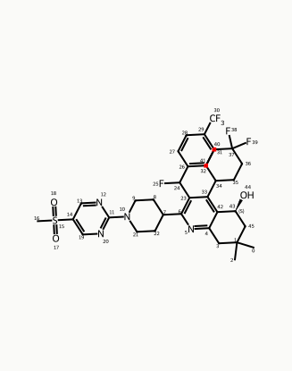 CC1(C)Cc2nc(C3CCN(c4ncc(S(C)(=O)=O)cn4)CC3)c(C(F)c3ccc(C(F)(F)F)cc3)c(C3CCC(F)(F)CC3)c2[C@@H](O)C1